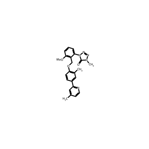 COc1cccc(-n2nnn(C)c2=O)c1COc1ccc(-c2cc(C)ccn2)cc1C